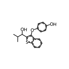 CC(C)C(O)c1sc2ccccc2c1Oc1ccc(O)cc1